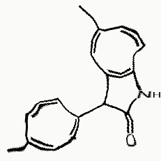 Cc1ccc(C2C(=O)Nc3ccc(C)cc32)cc1